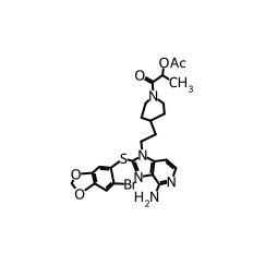 CC(=O)OC(C)C(=O)N1CCC(CCn2c(Sc3cc4c(cc3Br)OCO4)nc3c(N)nccc32)CC1